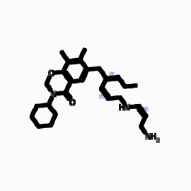 CC/C=C(\C=C/CN/C=C\CN)Cc1cc2c(c(C)c1C)OCN(C1CCCCC1)C2=O